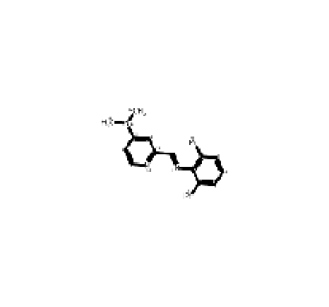 CC(C)c1cccc(C(C)C)c1N=Cc1cc(N(C)C)ccn1